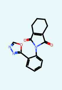 O=C1C2=C(CCCC2)C(=O)N1c1ccccc1-c1nnco1